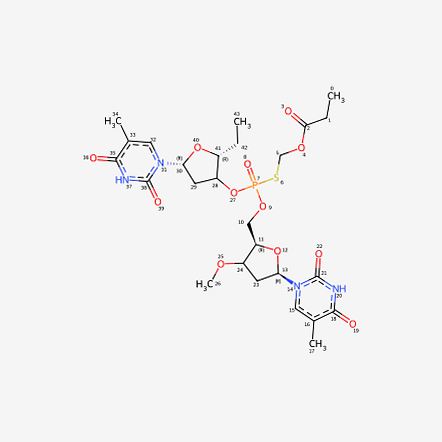 CCC(=O)OCSP(=O)(OC[C@H]1O[C@@H](n2cc(C)c(=O)[nH]c2=O)CC1OC)OC1C[C@H](n2cc(C)c(=O)[nH]c2=O)O[C@@H]1CC